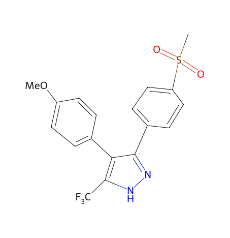 COc1ccc(-c2c(-c3ccc(S(C)(=O)=O)cc3)n[nH]c2C(F)(F)F)cc1